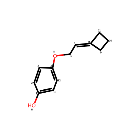 Oc1ccc(OCC=C2CCC2)cc1